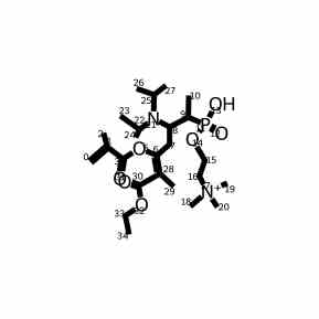 C=C(C)C(=O)OC(CC(C(C)P(=O)(O)OCC[N+](C)(C)C)N(C(C)C)C(C)C)=C(C)C(=O)OCC